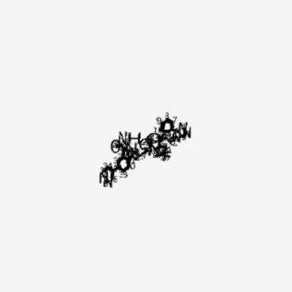 Cn1cnnc1-c1ccccc1NC(=O)[C@@H]1C[C@@H](F)CN1C(=O)Cn1nc(C(N)=O)c2cc(-c3ccnnc3)ccc21